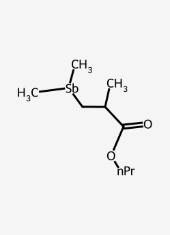 CCCOC(=O)C(C)[CH2][Sb]([CH3])[CH3]